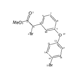 COC(=O)C(Br)c1cccc(Oc2ccc(Br)cc2)c1